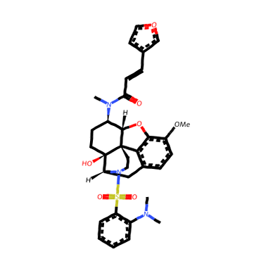 COc1ccc2c3c1O[C@H]1[C@H](N(C)C(=O)/C=C/c4ccoc4)CC[C@@]4(O)[C@@H](C2)N(S(=O)(=O)c2ccccc2N(C)C)CC[C@]314